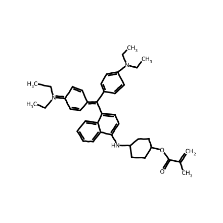 C=C(C)C(=O)OC1CCC(Nc2ccc(C(=C3C=CC(=[N+](CC)CC)C=C3)c3ccc(N(CC)CC)cc3)c3ccccc23)CC1